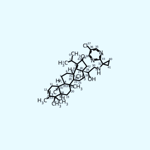 CC(C)C1=C2[C@H]3CC[C@@H]4[C@@]5(C)CC[C@H](C)C(C)(C)[C@@H]5CC[C@@]4(C)[C@]3(C)CC[C@@]2(C(O)CNC2(c3ncc(Cl)cn3)CC2)CC1=O